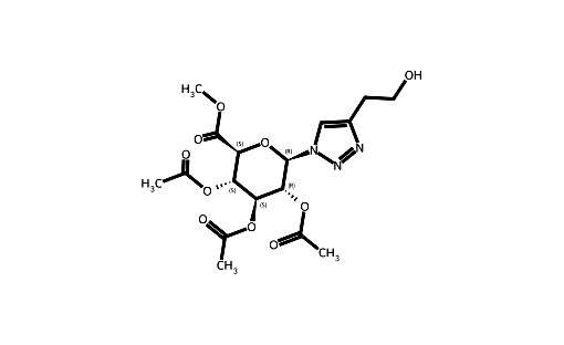 COC(=O)[C@H]1O[C@@H](n2cc(CCO)nn2)[C@H](OC(C)=O)[C@@H](OC(C)=O)[C@@H]1OC(C)=O